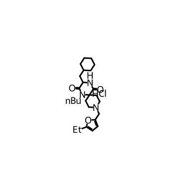 CCCCN1C(=O)C(CC2CCCCC2)NC(=O)C12CCN(Cc1ccc(CC)o1)CC2.Cl